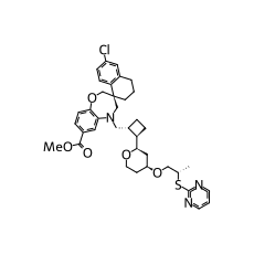 COC(=O)c1ccc2c(c1)N(C[C@@H]1CC[C@H]1[C@H]1C[C@@H](OC[C@H](C)Sc3ncccn3)CCO1)C[C@@]1(CCCc3cc(Cl)ccc31)CO2